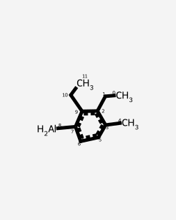 CCc1c(C)cc[c]([AlH2])c1CC